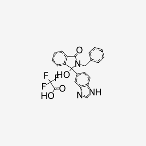 O=C(O)C(F)(F)F.O=C1c2ccccc2C(O)(c2ccc3[nH]cnc3c2)N1Cc1ccccc1